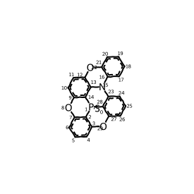 S=P12c3c4cccc3Oc3ccc5c(c31)N(c1ccccc1O5)c1cccc(c12)O4